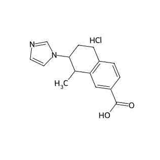 CC1c2cc(C(=O)O)ccc2CCC1n1ccnc1.Cl